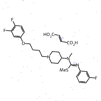 CS/C(=N\c1cccc(F)c1)N(C)C1CCN(CCCCOc2ccc(F)c(F)c2)CC1.O=C(O)/C=C/C(=O)O